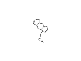 CCCCc1[c]ccc2cc3ccccc3cc12